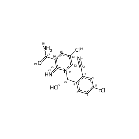 Cl.N#Cc1cc(Cl)ccc1Cn1cc(Cl)cc(C(N)=O)c1=N